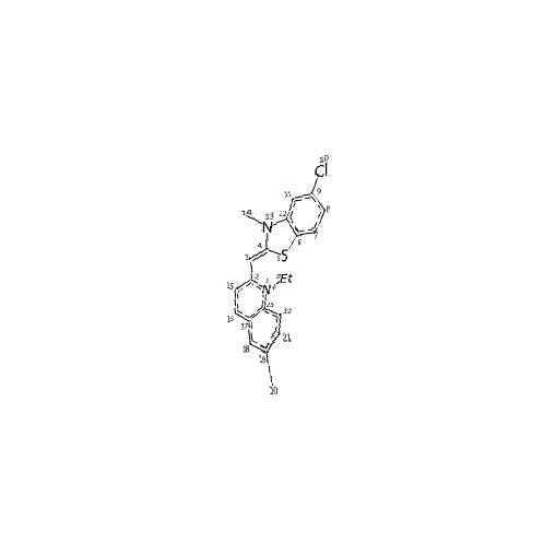 CC[n+]1c(C=C2Sc3ccc(Cl)cc3N2C)ccc2cc(C)ccc21